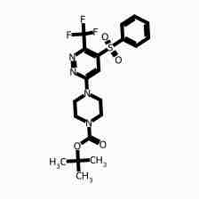 CC(C)(C)OC(=O)N1CCN(c2cc(S(=O)(=O)c3ccccc3)c(C(F)(F)F)nn2)CC1